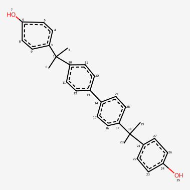 CC(C)(c1ccc(O)cc1)c1ccc(-c2ccc(C(C)(C)c3ccc(O)cc3)cc2)cc1